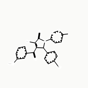 COc1cccc(C(=O)C2=C(O)C(=O)N(c3ccc(C)nn3)C2c2ccc(C(C)C)cc2)c1